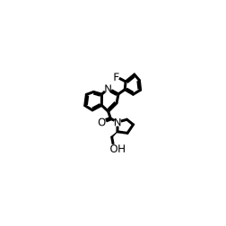 O=C(c1cc(-c2ccccc2F)nc2ccccc12)N1CCC[C@H]1CO